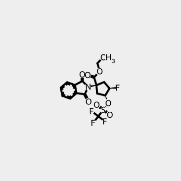 CCOC(=O)[C@]1(N2C(=O)c3ccccc3C2=O)C[C@@H](F)[C@H](OS(=O)(=O)C(F)(F)F)C1